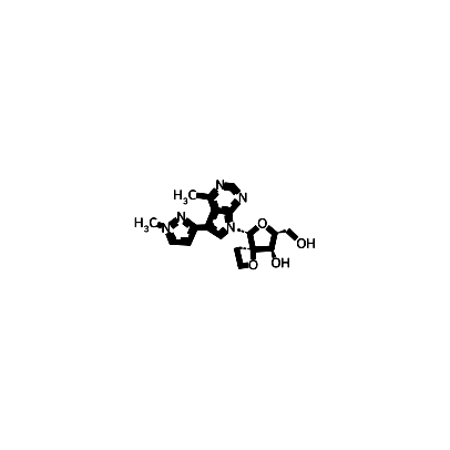 Cc1ncnc2c1c(-c1ccn(C)n1)cn2[C@@H]1O[C@H](CO)[C@@H](O)[C@]12CCO2